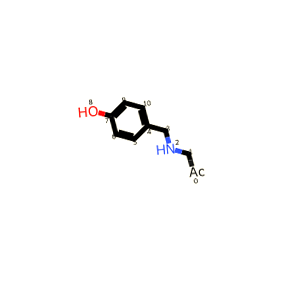 CC(=O)CNCc1ccc(O)cc1